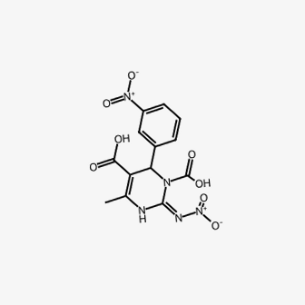 CC1=C(C(=O)O)C(c2cccc([N+](=O)[O-])c2)N(C(=O)O)/C(=N\[N+](=O)[O-])N1